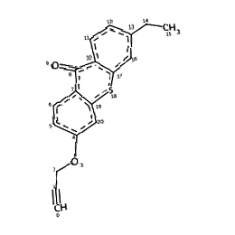 C#CCOc1ccc2c(=O)c3ccc(CC)cc3sc2c1